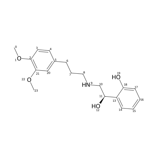 COc1ccc(CCCNC[C@H](O)c2ccccc2O)cc1OC